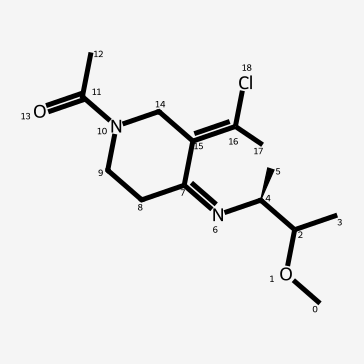 COC(C)[C@H](C)/N=C1/CCN(C(C)=O)C/C1=C(/C)Cl